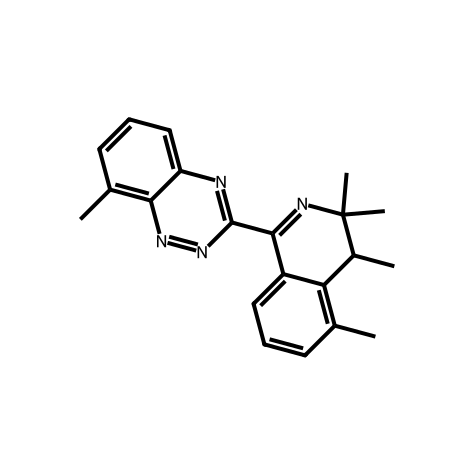 Cc1cccc2c1C(C)C(C)(C)N=C2c1nnc2c(C)cccc2n1